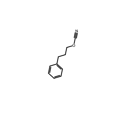 N#COCCCc1ccccc1